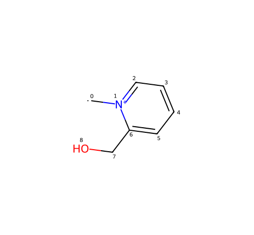 [CH2][n+]1ccccc1CO